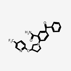 NC(=O)c1cc(C(=O)c2ccccc2)ccc1N1CCC(Oc2ccc(C(F)(F)F)cn2)C1